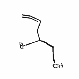 C=CC(Br)CO